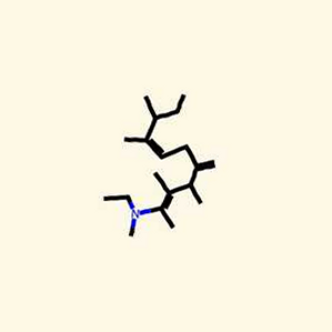 C=C(C/C=C(/C)C(C)CC)C(C)/C(C)=C(\C)N(C)CC